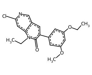 CCOc1cc(OC)cc(-c2cc3cnc(Cl)cc3n(CC)c2=O)c1